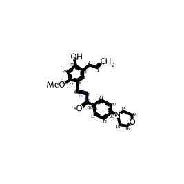 C=CCc1cc(/C=C/C(=O)c2ccc(N3CCOCC3)cc2)c(OC)cc1O